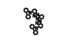 c1ccc2c(c1)c1ccccc1n2-c1cccc2c1nc1n2c2cccc3c2n1c1nc2c(-n4c5ccccc5c5ccccc54)cccc2n31